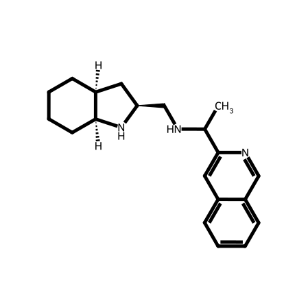 CC(NC[C@@H]1C[C@@H]2CCCC[C@@H]2N1)c1cc2ccccc2cn1